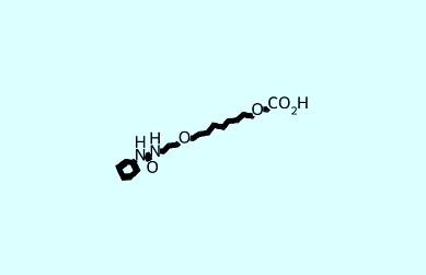 O=C(O)COCCCCCCCCCOCCCNC(=O)Nc1ccccc1